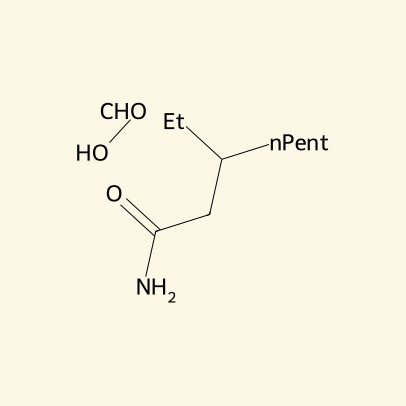 CCCCCC(CC)CC(N)=O.O=CO